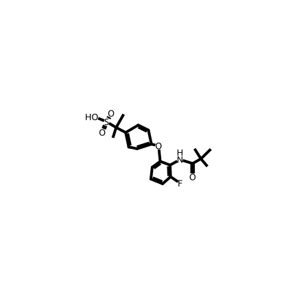 CC(C)(C)C(=O)Nc1c(F)cccc1Oc1ccc(C(C)(C)S(=O)(=O)O)cc1